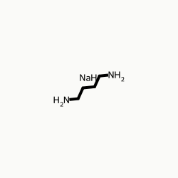 NCCCCN.[NaH]